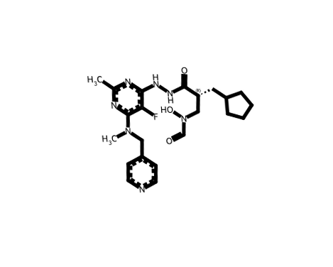 Cc1nc(NNC(=O)[C@H](CC2CCCC2)CN(O)C=O)c(F)c(N(C)Cc2ccncc2)n1